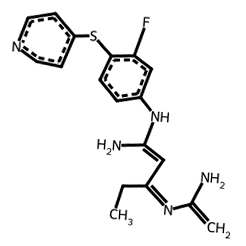 C=C(N)/N=C(\C=C(/N)Nc1ccc(Sc2ccncc2)c(F)c1)CC